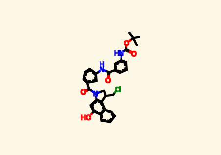 CC(C)(C)OC(=O)Nc1cccc(C(=O)Nc2cccc(C(=O)N3CC(CCl)c4c3cc(O)c3ccccc43)c2)c1